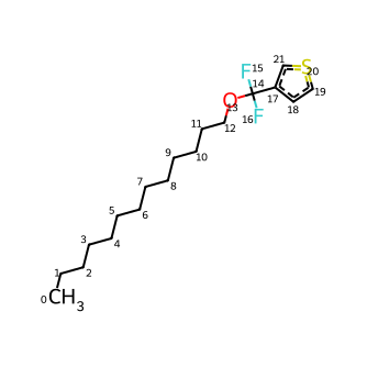 CCCCCCCCCCCCCOC(F)(F)c1ccsc1